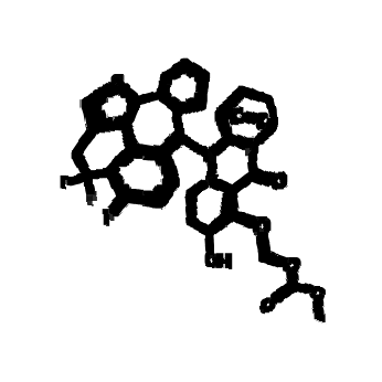 COC(=O)OCOC1=C2C(=O)N3C4CCC(CC4)C3N(C3c4ccccc4-c4scc5c4-c4c3ccc(F)c4C(F)(F)C5)N2C=CC1O